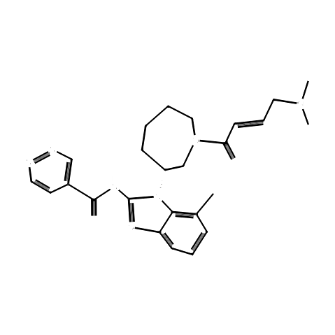 Cc1cccc2nc(NC(=O)c3ccnnc3)n([C@@H]3CCCCN(C(=O)/C=C/CN(C)C)C3)c12